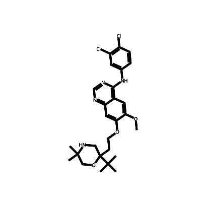 COc1cc2c(Nc3ccc(Cl)c(Cl)c3)ncnc2cc1OCCC1(C(C)(C)C)CNC(C)(C)CO1